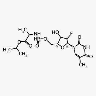 Cc1cn([C@H]2O[C@@H](CO[P@H](=O)NC(C)C(=O)OC(C)C)C(O)C2F)c(=O)[nH]c1=O